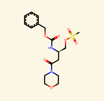 CS(=O)(=O)OC[C@@H](CC(=O)N1CCOCC1)NC(=O)OCc1ccccc1